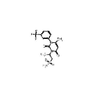 Cc1cc(=O)n(C(C)CS(N)(=O)=O)c(=O)n1-c1cccc(C(F)(F)F)c1